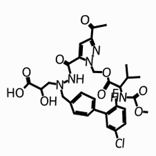 COC(=O)NC(C(=O)OCn1nc(C(C)=O)cc1C(=O)NN(Cc1ccc(-c2cc(Cl)ccc2F)cc1)CC(O)C(=O)O)C(C)C